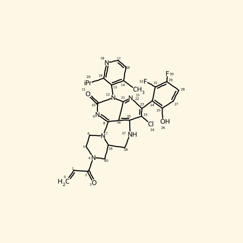 C=CC(=O)N1CCN2c3nc(=O)n(-c4c(C)ccnc4C(C)C)c4nc(-c5c(O)ccc(F)c5F)c(Cl)c(c34)NCC2C1